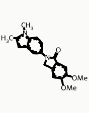 COc1cc2c(cc1OC)C(=O)N(c1ccc3c(c1)cc(C)n3C)C2